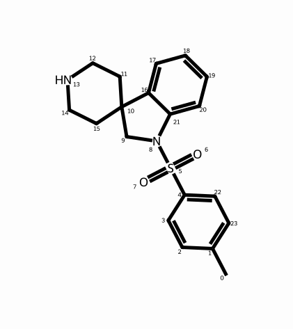 Cc1ccc(S(=O)(=O)N2CC3(CCNCC3)c3ccccc32)cc1